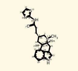 CN1C[C@H](CCC(=O)Nc2nccs2)C[C@@H]2c3cccc4[nH]cc(c34)C[C@H]21